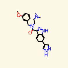 COc1cccc(CN(CCN(C)C)C(=O)c2n[nH]c3c2=CCC(c2cn[nH]c2)C=3)c1